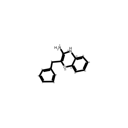 NC1=C(Cc2ccccc2)Oc2ccccc2N1